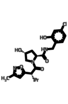 Cc1cc([C@H](C(=O)N2C[C@H](O)C[C@H]2C(=O)NCc2ccc(Cl)cc2O)C(C)C)on1